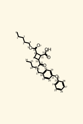 CCCCCOC(=O)C1CC(C(=O)N(CCC)Cc2ccc(Oc3ccccc3)cc2)C1C(=O)O